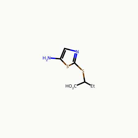 CCC(Sc1ncc(N)s1)C(=O)O